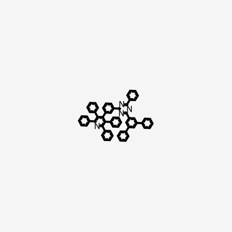 c1ccc(-c2cc(-c3ccccc3)cc(-c3nc(-c4ccccc4)nc(-c4cccc(-c5c(-c6ccccc6)c(-c6ccccc6)nc(-c6ccccc6)c5-c5ccccc5)c4)n3)c2)cc1